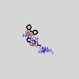 Cc1ccc(NS(=O)(=O)C(c2ccccc2)c2ccccc2)c(=O)n1CC(=O)NCCONC(=N)N